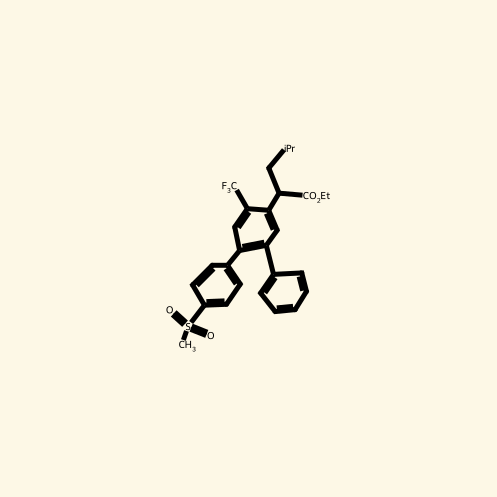 CCOC(=O)C(CC(C)C)c1cc(-c2ccccc2)c(-c2ccc(S(C)(=O)=O)cc2)cc1C(F)(F)F